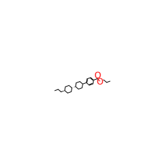 CCCOC(=O)c1ccc(C2CCC([C@H]3CC[C@H](CCC)CC3)CC2)cc1